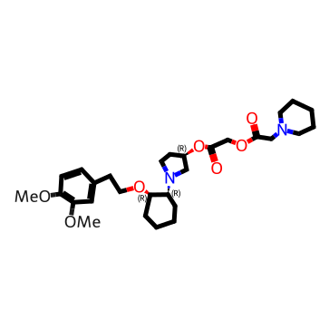 COc1ccc(CCO[C@@H]2CCCC[C@H]2N2CC[C@@H](OC(=O)COC(=O)CN3CCCCC3)C2)cc1OC